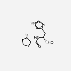 O=[C][C@H](Cc1c[nH]cn1)NC(=O)[C@@H]1CCCN1